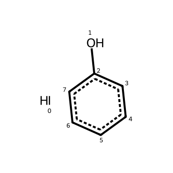 I.Oc1ccccc1